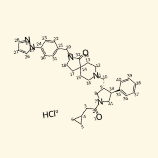 Cl.O=C(CC1CC1)N1C[C@H](CN2CCC3(CC2)CCN(Cc2ccc(-n4cccn4)cc2)C3=O)[C@@H](c2ccccc2)C1